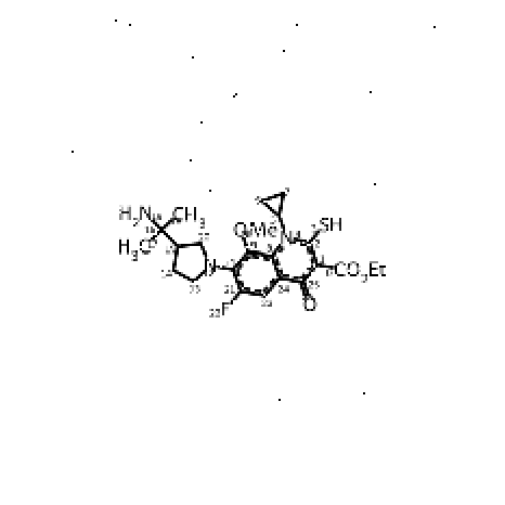 CCOC(=O)c1c(S)n(C2CC2)c2c(OC)c(N3CCC(C(C)(C)N)C3)c(F)cc2c1=O